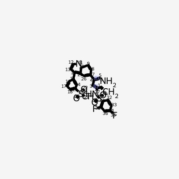 C=C/C(=C\C(=C/N)c1ccc2nccc(-c3cccc(S(C)(=O)=O)c3)c2c1)NS(=O)(=O)c1ccc(F)cc1F